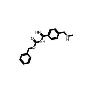 CNCc1ccc(C(=N)NC(=O)OCc2ccccc2)cc1